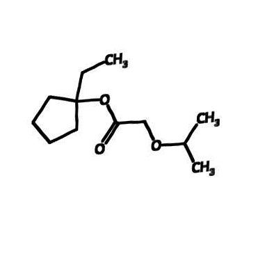 CCC1(OC(=O)COC(C)C)CCCC1